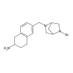 CC(=O)N1CC2CC1CN2Cc1ccc2c(c1)CCC(N)C2